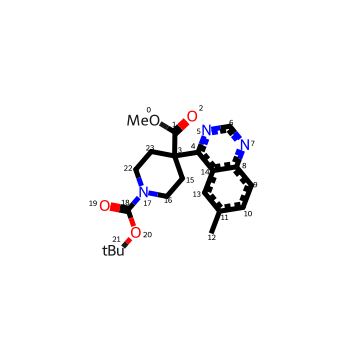 COC(=O)C1(c2ncnc3ccc(C)cc23)CCN(C(=O)OC(C)(C)C)CC1